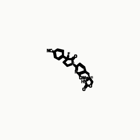 COc1nc(N2CCC(F)(c3ccc(C#N)cc3)C2=O)ccc1C[C@H]1COC(=O)N1